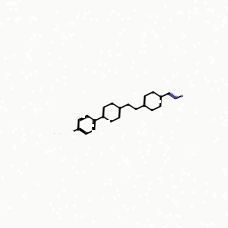 CCCCCc1ccc(C2CCC(CCC3CCC(/C=C/F)CC3)CC2)cc1